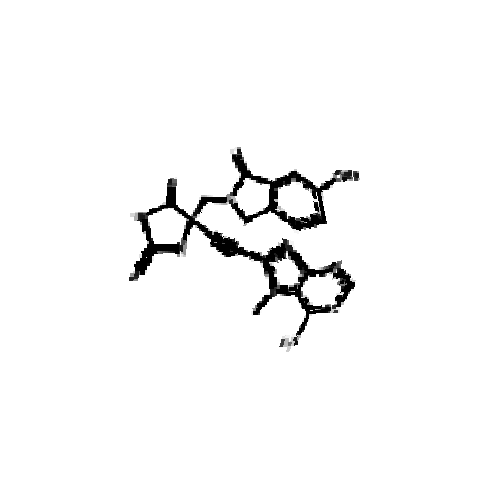 COc1ccc2c(c1)C(=O)N(C[C@@]1(C#Cc3nc4ncnc(N)c4n3C)NC(=O)NC1=O)C2